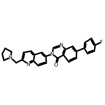 O=c1c2ccc(-c3ccc(F)cc3)cc2ncn1-c1ccc2nc(CN3CCCC3)ccc2c1